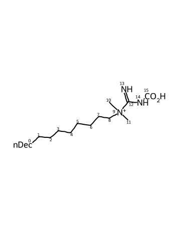 CCCCCCCCCCCCCCCCCC[N+](C)(C)C(=N)NC(=O)O